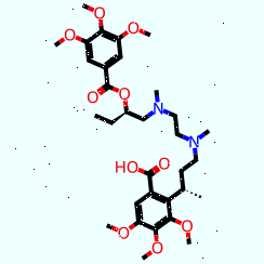 CC[C@H](CN(C)CCN(C)CC[C@H](C)c1c(C(=O)O)cc(OC)c(OC)c1OC)OC(=O)c1cc(OC)c(OC)c(OC)c1